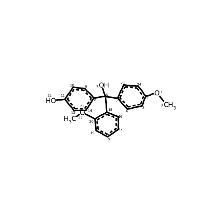 COc1ccc(C(O)(c2ccc(O)cc2)c2ccccc2OC)cc1